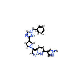 Cn1cc(-c2ccc3c(N4CCC(c5ncn(Cc6ccccc6)n5)C4)cnn3n2)cn1